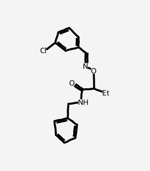 CCC(ON=Cc1cccc(Cl)c1)C(=O)NCc1ccccc1